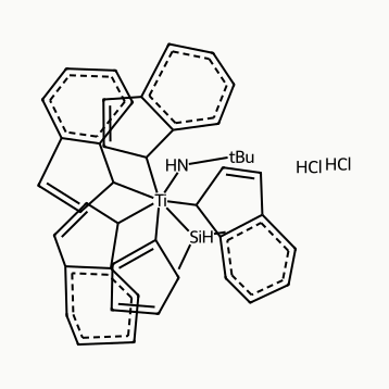 C[SiH](C)[Ti]([NH]C(C)(C)C)([C]1=CC=CC1)([CH]1C=Cc2ccccc21)([CH]1C=Cc2ccccc21)([CH]1C=Cc2ccccc21)[CH]1C=Cc2ccccc21.Cl.Cl